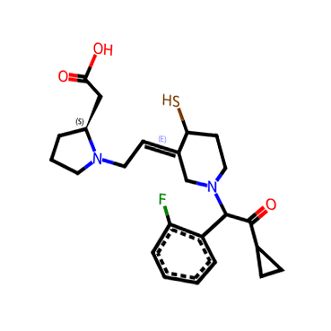 O=C(O)C[C@@H]1CCCN1C/C=C1\CN(C(C(=O)C2CC2)c2ccccc2F)CCC1S